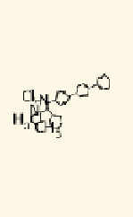 CC1(C)c2ccccc2-c2c(-c3ccc(-c4ccc(-c5ccccc5)cc4)cc3)nc(Cl)nc21